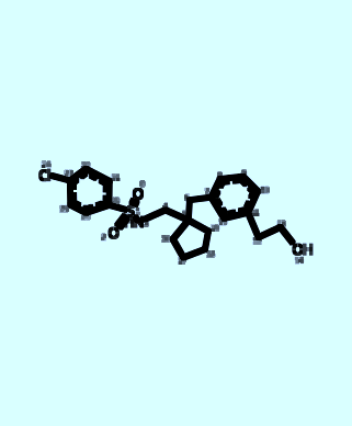 O=S(=O)(NCC1(Cc2cccc(CCO)c2)CCCC1)c1ccc(Cl)cc1